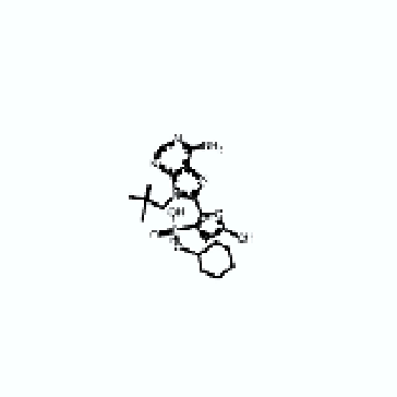 CC(C)(C)Cn1c(-c2oc(O)cc2[P@@](=O)(O)OC2CCCCC2)nc2c(N)ncnc21